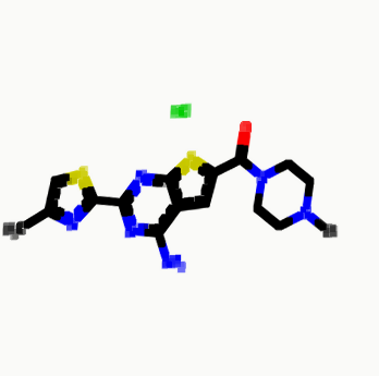 CCN1CCN(C(=O)c2cc3c(N)nc(-c4nc(C)cs4)nc3s2)CC1.Cl